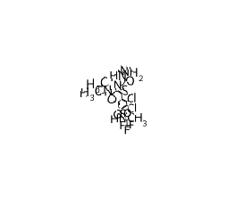 CCN(CC)C(=O)c1nc(C(=O)NN)sc1-c1ccc(S(=O)(=O)NC(C)C(F)(F)F)c(Cl)c1Cl